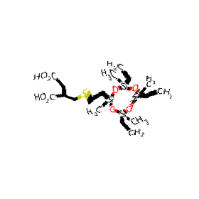 C=C[Si]1(C)O[Si](C)(C=C)O[Si](C)(CCSCC(CC(=O)O)C(=O)O)O[Si](C)(C=C)O1